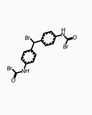 O=C(Br)Nc1ccc(C(Br)c2ccc(NC(=O)Br)cc2)cc1